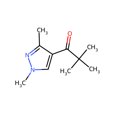 Cc1nn(C)cc1C(=O)C(C)(C)C